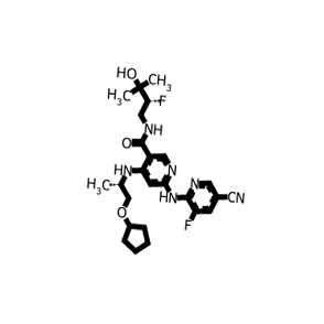 C[C@@H](COC1CCCC1)Nc1cc(Nc2ncc(C#N)cc2F)ncc1C(=O)NC[C@@H](F)C(C)(C)O